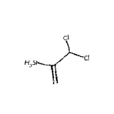 C=C([SiH3])C(Cl)Cl